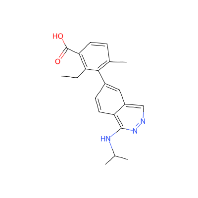 CCc1c(C(=O)O)ccc(C)c1-c1ccc2c(NC(C)C)nncc2c1